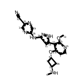 CN[C@H]1C[C@H](Oc2ccnc(OC)c2-c2cc(Nc3cnc(C#N)cn3)n[nH]2)C1